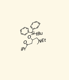 CCN(C)CC(CC(=O)C(C)C)O[Si](c1ccccc1)(c1ccccc1)C(C)(C)C